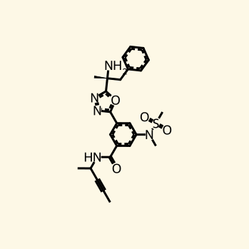 CC#CC(C)NC(=O)c1cc(-c2nnc([C@](C)(N)Cc3ccccc3)o2)cc(N(C)S(C)(=O)=O)c1